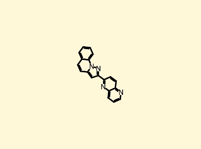 c1ccc2c(c1)ccc1cc(-c3ccc4ncccc4n3)nn12